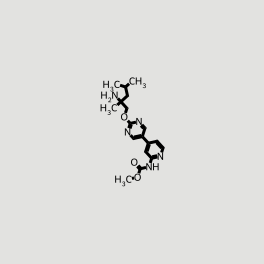 COC(=O)Nc1cc(-c2cnc(OCC(C)(N)CC(C)C)nc2)ccn1